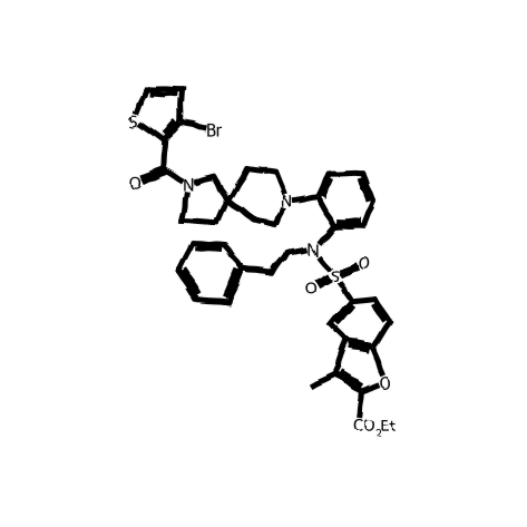 CCOC(=O)c1oc2ccc(S(=O)(=O)N(CCc3ccccc3)c3ccccc3N3CCC4(CCN(C(=O)c5sccc5Br)C4)CC3)cc2c1C